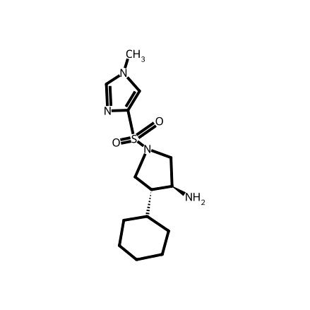 Cn1cnc(S(=O)(=O)N2C[C@@H](N)[C@H](C3CCCCC3)C2)c1